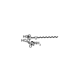 CCCCCCCCCCCCCCCOCCCOP(=O)(O)CO[C@H](CO)Cn1ccc(N)nc1=O